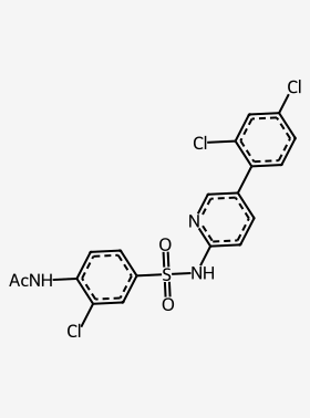 CC(=O)Nc1ccc(S(=O)(=O)Nc2ccc(-c3ccc(Cl)cc3Cl)cn2)cc1Cl